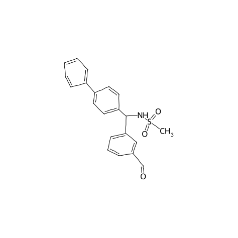 CS(=O)(=O)NC(c1ccc(-c2ccccc2)cc1)c1cccc(C=O)c1